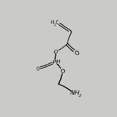 C=CC(=O)O[PH](=O)OCN